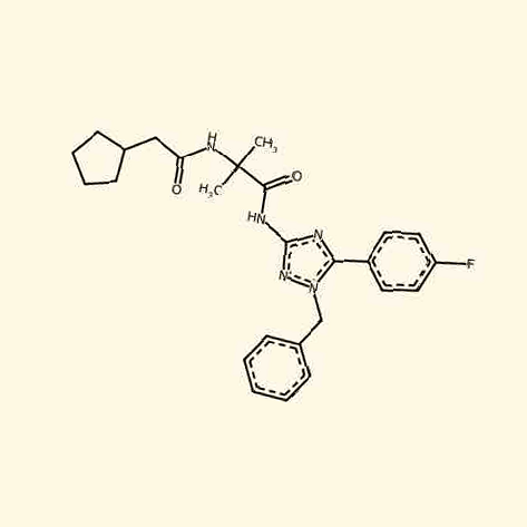 CC(C)(NC(=O)CC1CCCC1)C(=O)Nc1nc(-c2ccc(F)cc2)n(Cc2ccccc2)n1